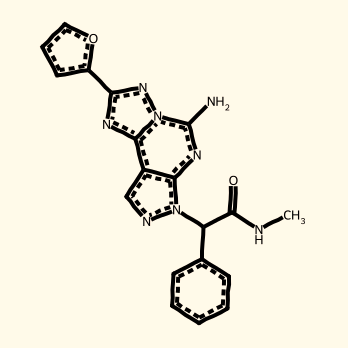 CNC(=O)C(c1ccccc1)n1ncc2c1nc(N)n1nc(-c3ccco3)nc21